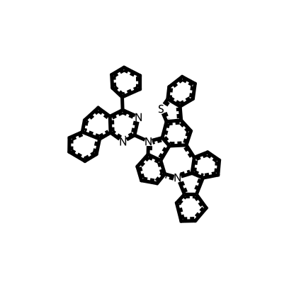 c1ccc(-c2nc(-n3c4cccc5c4c4c(cc6c7ccccc7sc6c43)c3cccc4c6ccccc6n5c34)nc3c2ccc2ccccc23)cc1